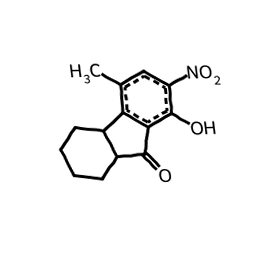 Cc1cc([N+](=O)[O-])c(O)c2c1C1CCCCC1C2=O